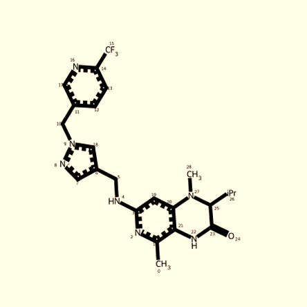 Cc1nc(NCc2cnn(Cc3ccc(C(F)(F)F)nc3)c2)cc2c1NC(=O)C(C(C)C)N2C